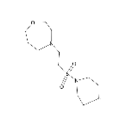 O=S(=O)(CCN1CCCOCC1)N1CC[CH]CC1